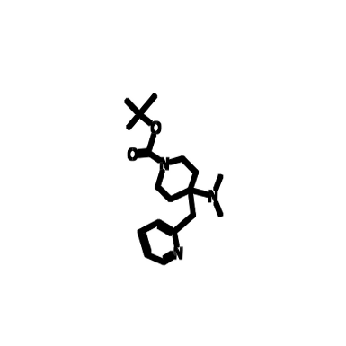 CN(C)C1(Cc2ccccn2)CCN(C(=O)OC(C)(C)C)CC1